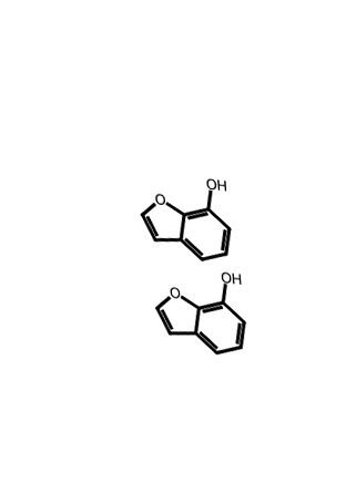 Oc1cccc2ccoc12.Oc1cccc2ccoc12